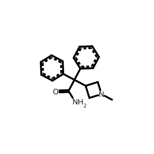 CN1CC(C(C(N)=O)(c2ccccc2)c2ccccc2)C1